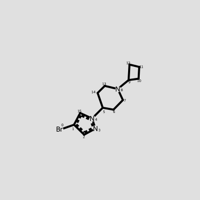 Brc1cnn(C2CCN(C3CCC3)CC2)c1